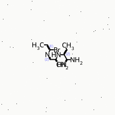 C=C(/C=N\C(Br)=C/C)N/C(=C\C)C(=N)N